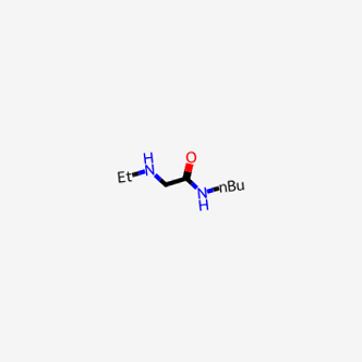 [CH2]CCCNC(=O)CNCC